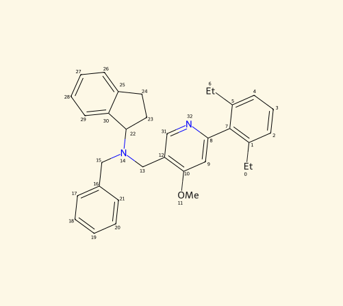 CCc1cccc(CC)c1-c1cc(OC)c(CN(Cc2ccccc2)C2CCc3ccccc32)cn1